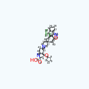 O=C(O)c1cc(OC2CCCC2)c2cc(N3CCC4(CC3)CC(=Cc3c(-c5ccccc5C(F)(F)F)noc3C3CC3)C4)ccc2n1